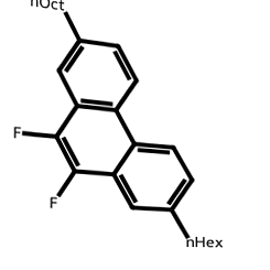 CCCCCCCCc1ccc2c(c1)c(F)c(F)c1cc(CCCCCC)ccc12